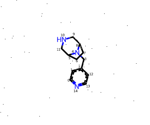 c1cc(CN2C3CCC2CNC3)ccn1